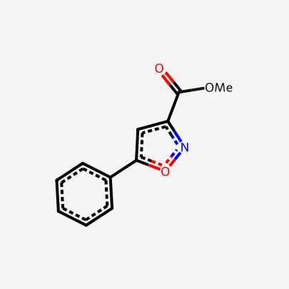 [CH2]OC(=O)c1cc(-c2ccccc2)on1